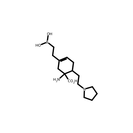 NC1(C(=O)O)CC(CCB(O)O)=CCC1CCN1CCCC1